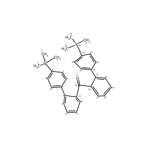 C[Si](C)(C)c1ccc(-c2ccccc2C(=O)c2ccccc2-c2ccc([Si](C)(C)C)cc2)cc1